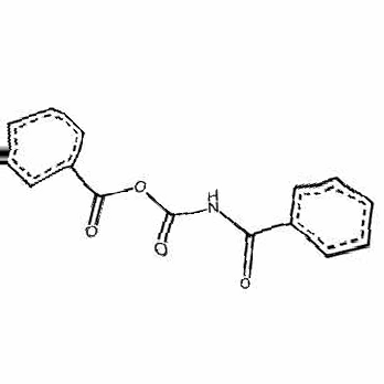 O=C(NC(=O)c1ccccc1)OC(=O)c1ccccc1